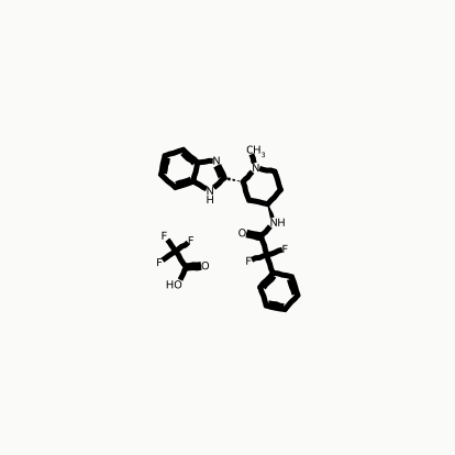 CN1CC[C@@H](NC(=O)C(F)(F)c2ccccc2)C[C@@H]1c1nc2ccccc2[nH]1.O=C(O)C(F)(F)F